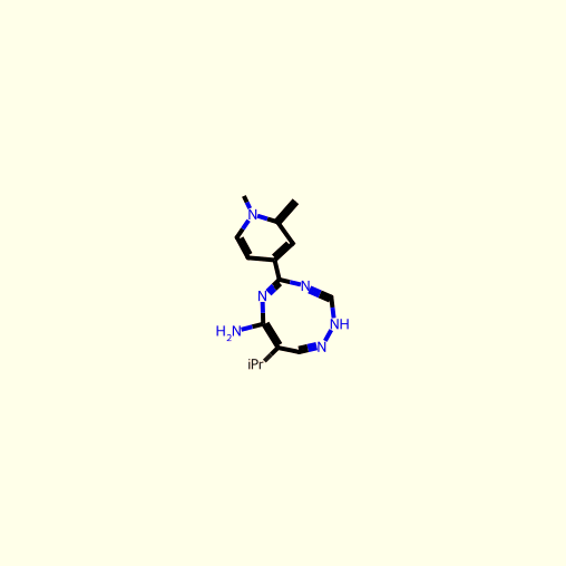 C=C1C=C(c2nc[nH]ncc(C(C)C)c(N)n2)C=CN1C